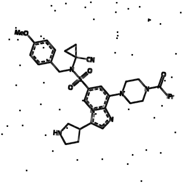 COc1ccc(CN(C2(C#N)CC2)S(=O)(=O)c2cc(N3CCN(C(=O)C(C)C)CC3)c3ncc(C4CCNC4)n3c2)cc1